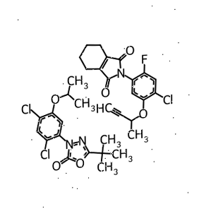 C#CC(C)Oc1cc(N2C(=O)C3=C(CCCC3)C2=O)c(F)cc1Cl.CC(C)Oc1cc(-n2nc(C(C)(C)C)oc2=O)c(Cl)cc1Cl